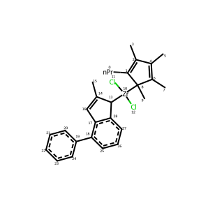 CCCC1=C(C)C(C)=C(C)[C]1(C)[Zr]([Cl])([Cl])[CH]1C(C)=Cc2c(-c3ccccc3)cccc21